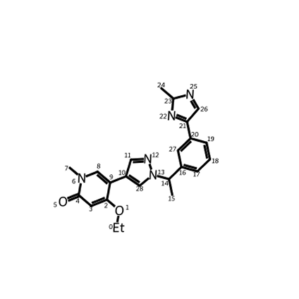 CCOc1cc(=O)n(C)cc1-c1cnn(C(C)c2cccc(C3=NC(C)N=C3)c2)c1